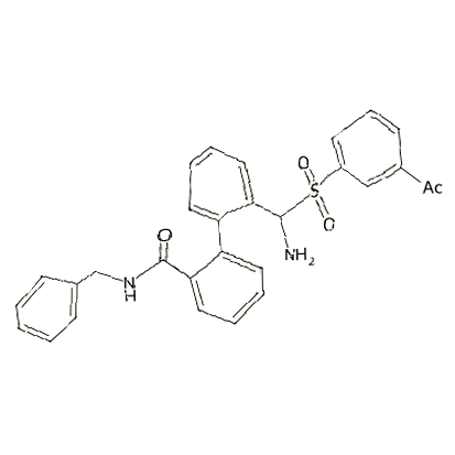 CC(=O)c1cccc(S(=O)(=O)C(N)c2ccccc2-c2ccccc2C(=O)NCc2ccccc2)c1